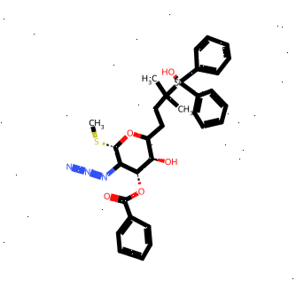 CS[C@@H]1OC(CCC(C)(C)[Si](O)(c2ccccc2)c2ccccc2)[C@@H](O)[C@H](OC(=O)c2ccccc2)C1N=[N+]=[N-]